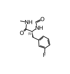 CNC(=O)[C@H](Cc1cccc(F)c1)NC=O